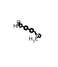 C[C@@H]1CCCN1CCc1ccc(-c2ccc(C3CNC(=O)C3)cc2)cc1